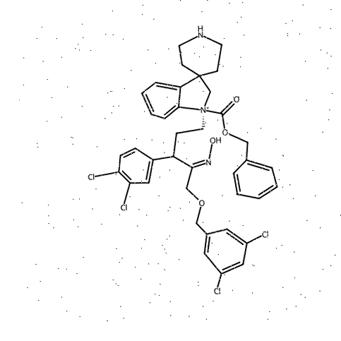 O=C(OCc1ccccc1)[N@+]1(CCC(C(COCc2cc(Cl)cc(Cl)c2)=NO)c2ccc(Cl)c(Cl)c2)CC2(CCNCC2)c2ccccc21